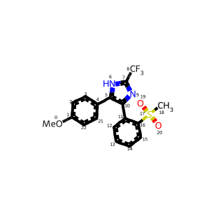 COc1ccc(-c2[nH]c(C(F)(F)F)nc2-c2ccccc2S(C)(=O)=O)cc1